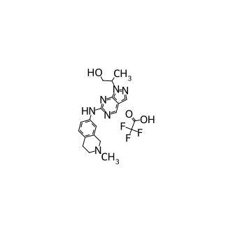 CC(CO)n1ncc2cnc(Nc3ccc4c(c3)CN(C)CC4)nc21.O=C(O)C(F)(F)F